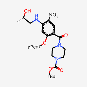 CCCCCOc1cc(NC[C@H](C)O)c([N+](=O)[O-])cc1C(=O)N1CCN(C(=O)OC(C)(C)C)CC1